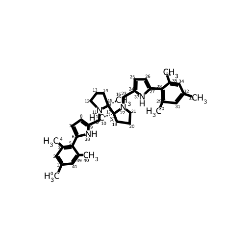 Cc1cc(C)c(-c2ccc(CN3CCC[C@@]3(C)[C@]3(C)CCCN3Cc3ccc(-c4c(C)cc(C)cc4C)[nH]3)[nH]2)c(C)c1